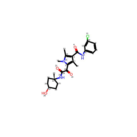 Cc1c(C(=O)Nc2cccc(Cl)c2)c(C)n(C)c1C(=O)C(=O)N[C@]1(C)CC[C@@H](O)CC1